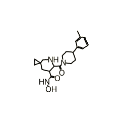 Cc1cccc(C2CCN(C(=O)C3NCC4(CC4)CC3C(=O)NO)CC2)c1